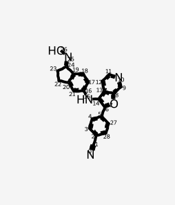 N#Cc1ccc(-c2oc3cnccc3c2Nc2ccc3c(c2)CCC3=NO)cc1